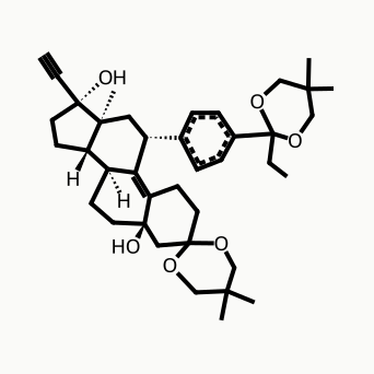 C#C[C@]1(O)CC[C@H]2[C@@H]3CC[C@@]4(O)CC5(CCC4=C3[C@@H](c3ccc(C4(CC)OCC(C)(C)CO4)cc3)C[C@@]21C)OCC(C)(C)CO5